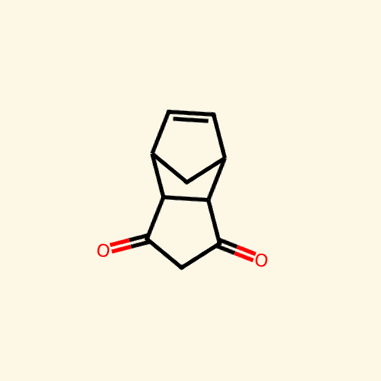 O=C1CC(=O)C2C3C=CC(C3)C12